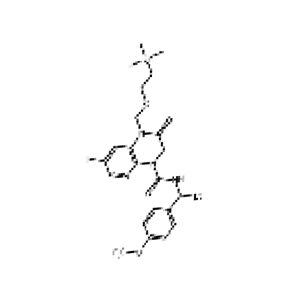 CCC(NC(=O)N1CC(=O)N(COCC[Si](C)(C)C)c2cc(I)cnc21)c1ccc(OC(F)(F)F)cc1